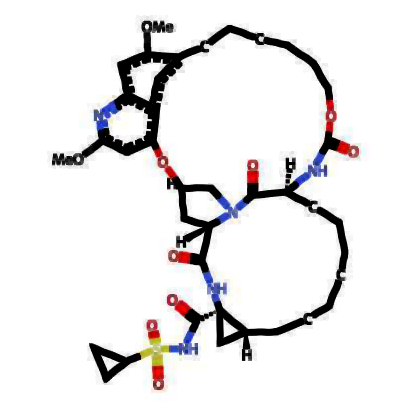 COc1cc2c3cc(c(OC)cc3n1)CCCCCCOC(=O)N[C@H]1CCCCCCC[C@@H]3C[C@@]3(C(=O)NS(=O)(=O)C3CC3)NC(=O)[C@@H]3C[C@H](CN3C1=O)O2